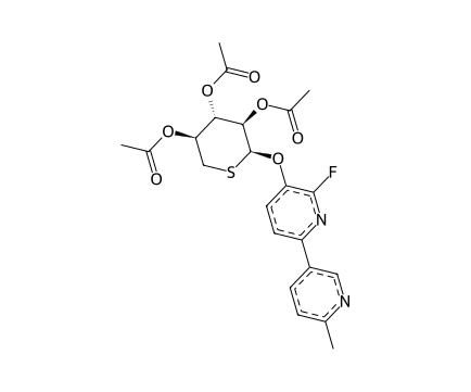 CC(=O)O[C@@H]1[C@@H](OC(C)=O)[C@@H](Oc2ccc(-c3ccc(C)nc3)nc2F)SC[C@H]1OC(C)=O